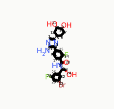 Nc1ncc([C@H]2CC[C@H](O)[C@@H](O)C2)nc1-c1ccc(C(=O)NC(CO)c2cc(F)cc(Br)c2)c(F)c1